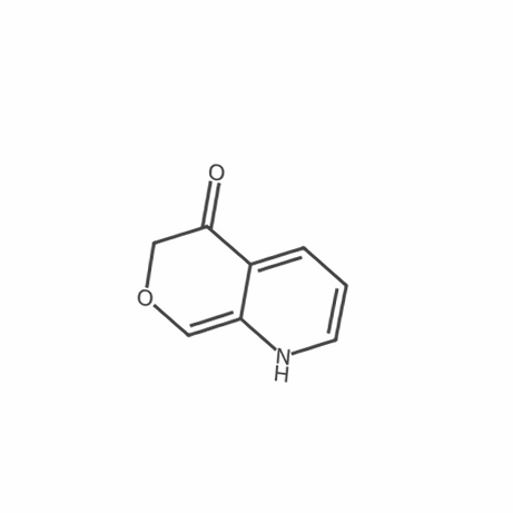 O=C1COC=C2NC=CC=C12